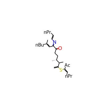 C=C(S/C(=C\CCC)C(C)=O)C(C)[C@H](C)CCC(=O)C(/C=C(\C)CCCC)=N/C=C/CCC